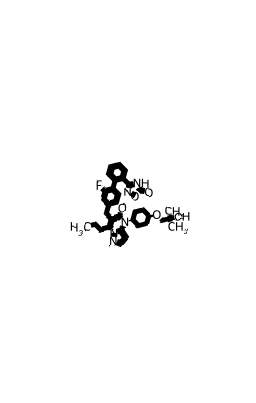 CCCc1c(Cc2ccc(-c3ccccc3-c3noc(=O)[nH]3)c(F)c2)c(=O)n([C@H]2CC[C@H](OCC(C)(C)O)CC2)c2ccnn12